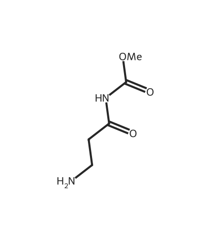 COC(=O)NC(=O)CCN